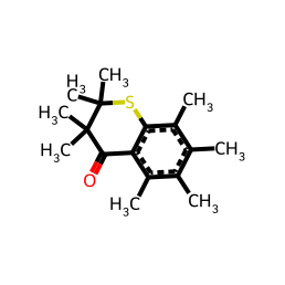 Cc1c(C)c(C)c2c(c1C)SC(C)(C)C(C)(C)C2=O